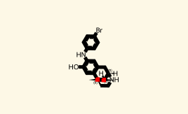 Oc1cc2c(cc1Nc1ccc(Br)cc1)C[C@H]1NCC[C@@]23CCCC[C@@H]13